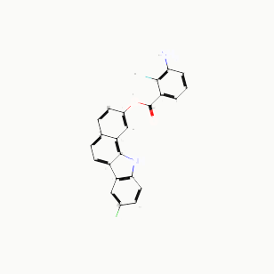 Nc1cccc(C(=O)Oc2ccc3ccc4c5cc(Cl)ccc5[nH]c4c3c2)c1F